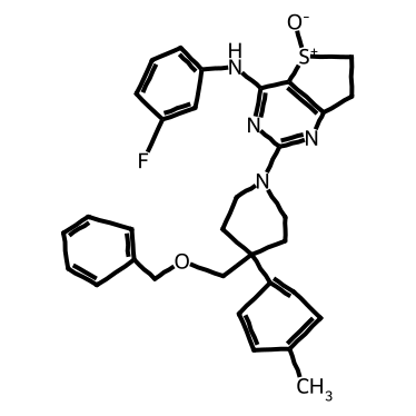 Cc1ccc(C2(COCc3ccccc3)CCN(c3nc4c(c(Nc5cccc(F)c5)n3)[S+]([O-])CC4)CC2)cc1